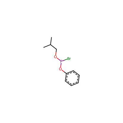 CC(C)COP(Br)Oc1ccccc1